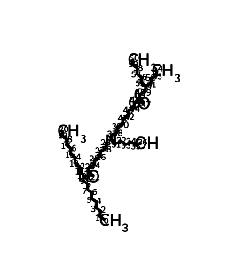 CCCCCCCCCCN(CCCCCCCCCC)C(=O)CCCCCCCN(CCCCCO)CCCCCCCCOC(=O)OCC(CCCC)CCCCCC